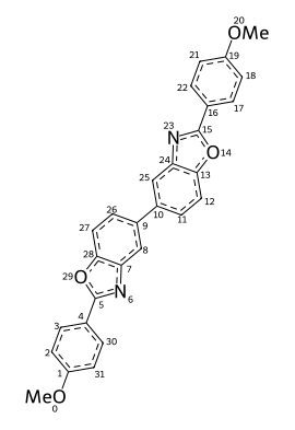 COc1ccc(-c2nc3cc(-c4ccc5oc(-c6ccc(OC)cc6)nc5c4)ccc3o2)cc1